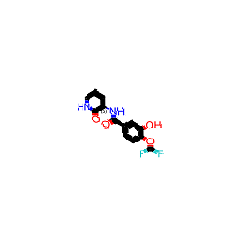 O=C(N[C@H]1CCCNC1=O)c1ccc(OC(F)F)c(O)c1